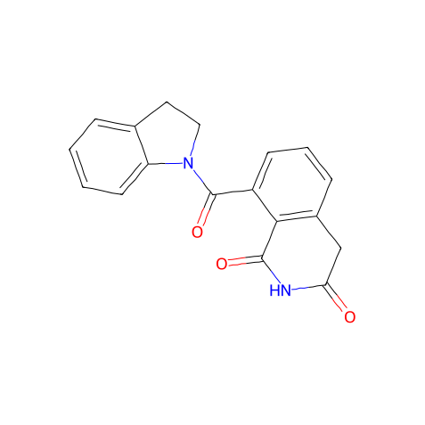 O=C1Cc2cccc(C(=O)N3CCc4ccccc43)c2C(=O)N1